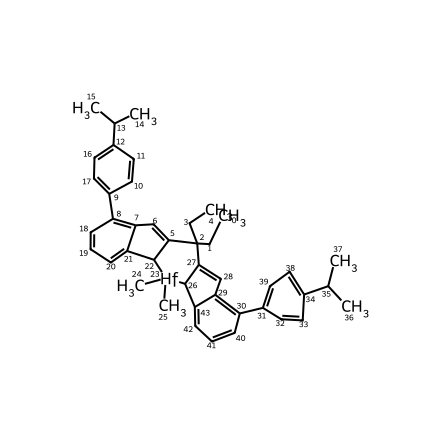 CCC1(CC)C2=Cc3c(-c4ccc(C(C)C)cc4)cccc3[CH]2[Hf]([CH3])([CH3])[CH]2C1=Cc1c(-c3ccc(C(C)C)cc3)cccc12